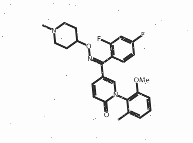 COc1cccc(C)c1-n1cc(C(=NOC2CCN(C)CC2)c2ccc(F)cc2F)ccc1=O